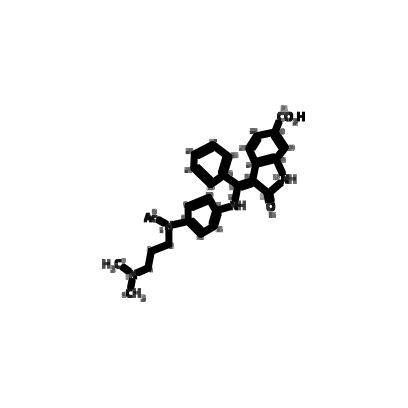 CC(=O)N(CCCN(C)C)c1ccc(N/C(=C2\C(=O)Nc3cc(C(=O)O)ccc32)c2ccccc2)cc1